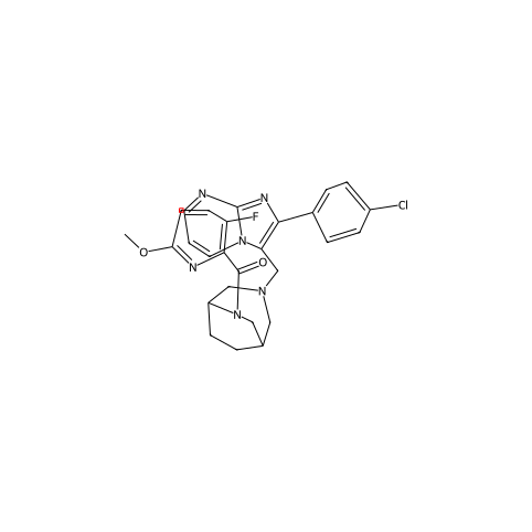 COc1ccc(F)c(C(=O)N2CC3CCC2CN(Cc2c(-c4ccc(Cl)cc4)nc4ncccn24)C3)n1